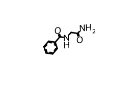 NC(=O)CNC(=O)c1ccccc1